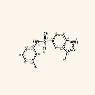 Cc1n[nH]c2ccc(S(=O)(=O)Nc3cccc(F)c3)cc12